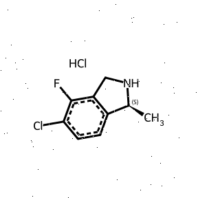 C[C@@H]1NCc2c1ccc(Cl)c2F.Cl